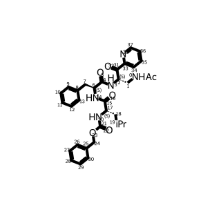 CC(=O)NC[C@H](NC(=O)[C@H](Cc1ccccc1)NC(=O)[C@H](CC(C)C)NC(=O)OCc1ccccc1)C(=O)c1ccccn1